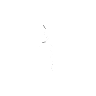 C=CCSC(=S)SCCCCCC